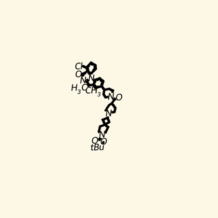 CC(C)(C)OC(=O)N1CCC2(CC1)CC(N1CCC(C(=O)N3CCC(c4ccc5c(c4)C(C)(C)c4nc(=O)c6c(Cl)cccc6n4-5)CC3)CC1)C2